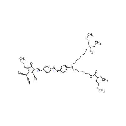 CCCCC(CC)C(=O)OCCCCCCN(CCCCCCOC(=O)C(CC)CCCC)c1ccc(/N=N/c2ccc(/C=C/C3=C(C#N)C(=C(C#N)C#N)N(CCCC)C3=O)cc2)cc1